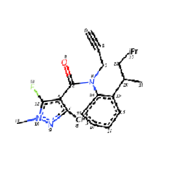 C#CCN(C(=O)c1c(C(F)(F)F)nn(C)c1F)c1ccccc1C(C)CC(C)C